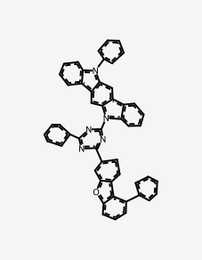 c1ccc(-c2nc(-c3ccc4c(c3)oc3cccc(-c5ccccc5)c34)nc(-n3c4ccccc4c4cc5c(cc43)c3ccccc3n5-c3ccccc3)n2)cc1